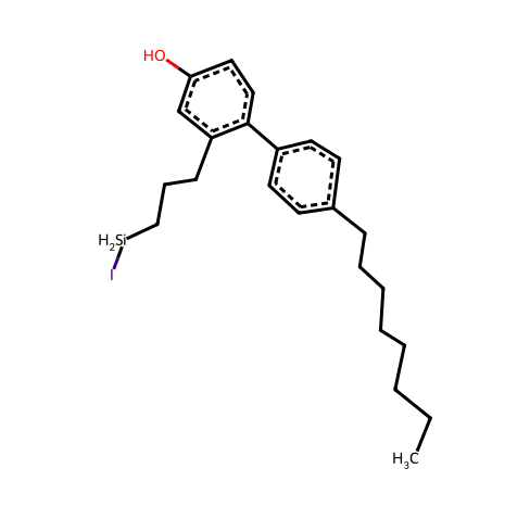 CCCCCCCCc1ccc(-c2ccc(O)cc2CCC[SiH2]I)cc1